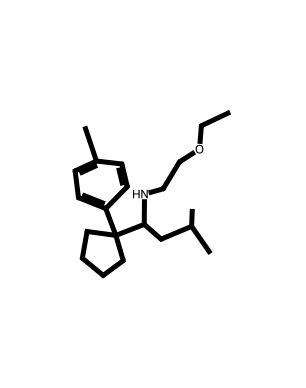 CCOCCNC(CC(C)C)C1(c2ccc(C)cc2)CCCC1